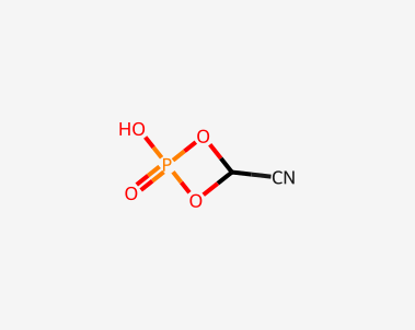 N#CC1OP(=O)(O)O1